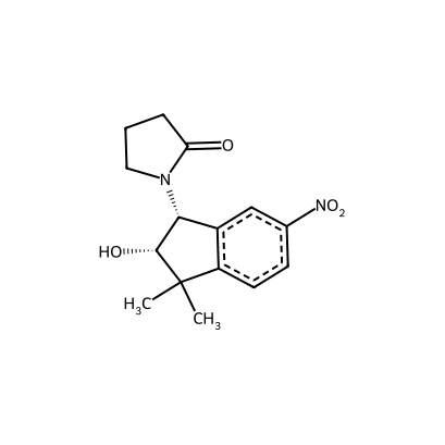 CC1(C)c2ccc([N+](=O)[O-])cc2[C@@H](N2CCCC2=O)[C@H]1O